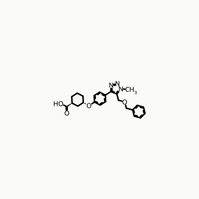 Cn1nnc(-c2ccc(O[C@H]3CCC[C@H](C(=O)O)C3)cc2)c1COCc1ccccc1